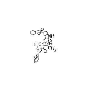 Cc1[nH]c(/C=C2\C(=O)Nc3ccc(S(=O)(=O)Cc4ccccc4)cc32)c(C)c1C(=O)NCCn1ccnn1